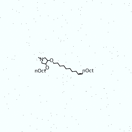 CCCCCCCC/C=C\CCCCCCCCOC1CN(C)CC1OCCCCCCCC